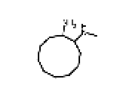 CNC1CCCCCCCC[C@H]1N